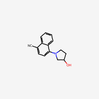 N#Cc1ccc(N2CCC(O)C2)c2ccccc12